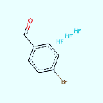 F.F.F.O=Cc1ccc(Br)cc1